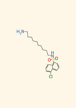 NCCCCCCCCCCNS(=O)(=O)c1cccc2c(Cl)cccc12